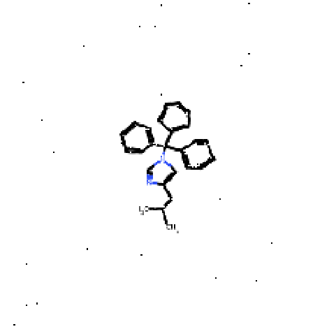 CC(C)Cc1cn(C(c2ccccc2)(c2ccccc2)c2ccccc2)cn1